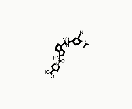 CC(C)Oc1ccc(-c2nc(-c3cccc4c3CCC4NC(=O)N3CCC(C(=O)O)CC3)no2)cc1C#N